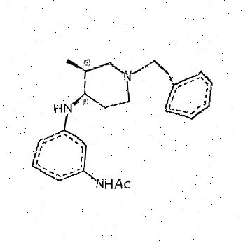 CC(=O)Nc1cccc(N[C@@H]2CCN(Cc3ccccc3)C[C@@H]2C)c1